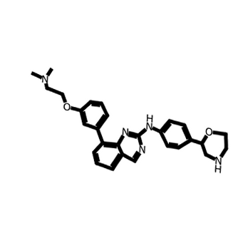 CN(C)CCOc1cccc(-c2cccc3cnc(Nc4ccc(C5CNCCO5)cc4)nc23)c1